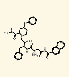 CC(C)(C)NC(=O)C1CC(Sc2ccccc2)CCN1CC(O)C(Cc1ccccc1)NC(=O)[C@@H](N)CC(=O)NC(=O)c1ccc2ccccc2c1